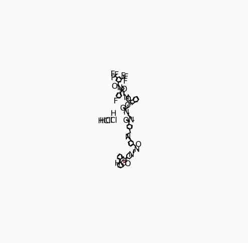 CN(CCc1ccc(C(=O)N(C)CCCN(C)C(=O)CO[C@H]2Cc3ccccc3C23CCN(CC[C@@]2(c4ccc(F)cc4)CN(C(=O)c4cc(C(F)(F)F)cc(C(F)(F)F)c4)CO2)CC3)cc1)Cc1cccc(C(=O)N(C)CCN2CCC(N(C(=O)O)c3ccccc3-c3ccccc3)CC2)c1.Cl.Cl.Cl